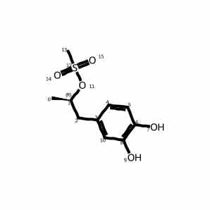 C[C@H](Cc1ccc(O)c(O)c1)OS(C)(=O)=O